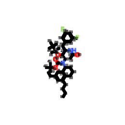 CCCCc1cc(CC)cc2c1CCC[C@@H]2N(C[C@@H](O[Si](C)(C)C(C)(C)C)C(Cc1cc(F)cc(F)c1)NC(C)=O)C(=O)OC(C)(C)C